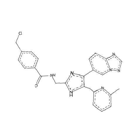 Cc1cccc(-c2[nH]c(CNC(=O)c3ccc(CCl)cc3)nc2-c2ccc3ncnn3c2)n1